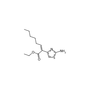 CCCCCC=C(C(=O)OCC)c1csc(N)n1